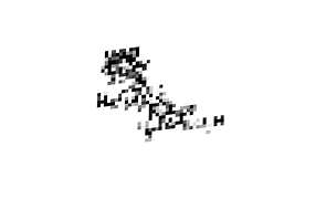 CO/N=C1/CN(c2nc3c(cc2F)c(=O)c(C(=O)O)cn3C2CC2)CC12CN(C(=O)OC(P(=O)(O)O)P(=O)(O)O)C2